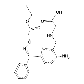 CCOC(=O)CON=C(c1ccccc1)c1ccc(N)c(CNCC(=O)O)c1